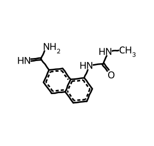 CNC(=O)Nc1cccc2ccc(C(=N)N)cc12